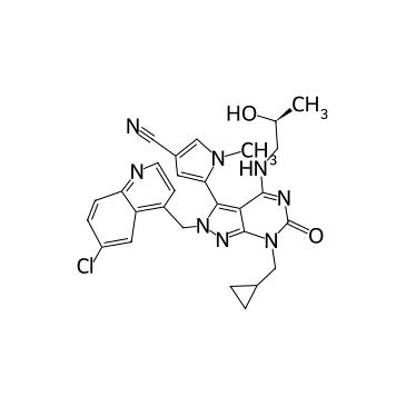 C[C@H](O)CNc1nc(=O)n(CC2CC2)c2nn(Cc3ccnc4ccc(Cl)cc34)c(-c3cc(C#N)cn3C)c12